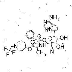 C[C@H](NP(=O)(OC[C@@]1(C#N)O[C@@H](c2ccc3c(N)ncnn23)[C@H](O)[C@@H]1O)Oc1ccccc1)C(=O)OC1CCCN(CC(F)(F)F)CC1